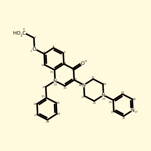 O=C(O)COc1ccc2c(=O)c(N3CCN(c4ccncc4)CC3)cn(Cc3ccccc3)c2c1